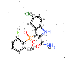 CCOP(=O)(c1ccccc1F)c1c(C(N)=O)[nH]c2ccc(Cl)cc12